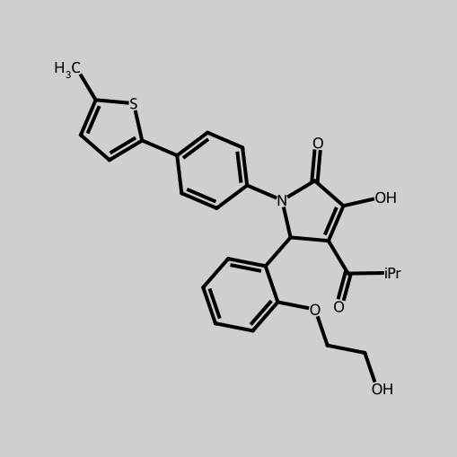 Cc1ccc(-c2ccc(N3C(=O)C(O)=C(C(=O)C(C)C)C3c3ccccc3OCCO)cc2)s1